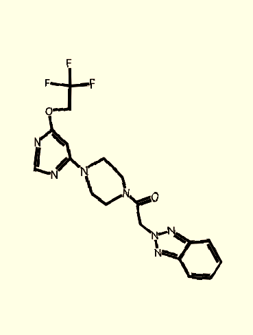 O=C(Cn1nc2ccccc2n1)N1CCN(c2cc(OCC(F)(F)F)ncn2)CC1